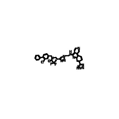 O=C(N(CCc1cn(CCNc2nc3cc(-c4nn[nH]n4)ccc3c3cnccc23)nn1)Cc1ccc(-c2ccccc2)c(Cl)c1)C(F)(F)F